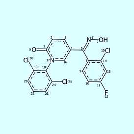 O=c1ccc(C(=NO)c2ccc(F)cc2Cl)cn1-c1c(Cl)cccc1Cl